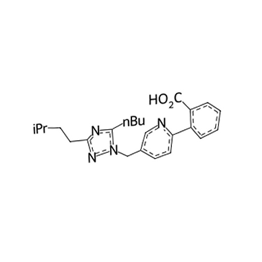 CCCCc1nc(CCC(C)C)nn1Cc1ccc(-c2ccccc2C(=O)O)nc1